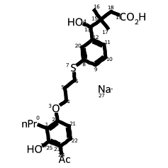 CCCc1c(OCCCSc2cccc(C(O)C(C)(C)CC(=O)O)c2)ccc(C(C)=O)c1O.[Na]